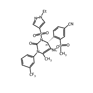 [C-]#[N+]C1=C(C)N(c2cccc(C(F)(F)F)c2)C(=O)N(S(=O)(=O)c2cnn(CC)c2)[C@@H]1c1ccc(C#N)cc1S(C)(=O)=O